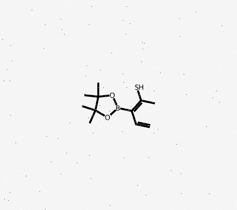 C=C/C(B1OC(C)(C)C(C)(C)O1)=C(\C)S